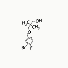 CC(C)(CO)COCc1ccc(F)c(Br)c1